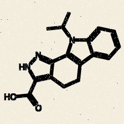 CC(C)n1c2c(c3ccccc31)CCc1c-2n[nH]c1C(=O)O